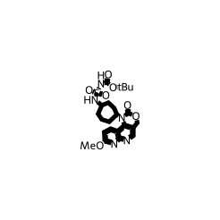 COc1ccc2c3c(cnc2n1)COC(=O)N3C1CCCC(NS(=O)(=O)NC(=O)OC(C)(C)C)CC1